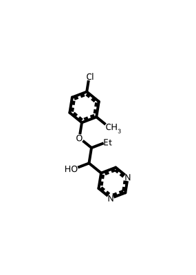 CCC(Oc1ccc(Cl)cc1C)C(O)c1cncnc1